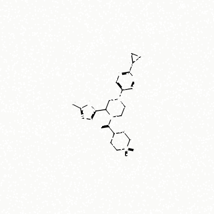 O=C(C1CCS(=O)(=O)CC1)N1CCN(c2cnc(C3CC3)nc2)CC1c1ccc(Cl)s1